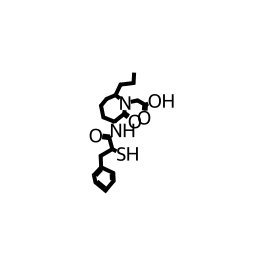 CCCC1CCCC(NC(=O)C(S)Cc2ccccc2)C(=O)N1CC(=O)O